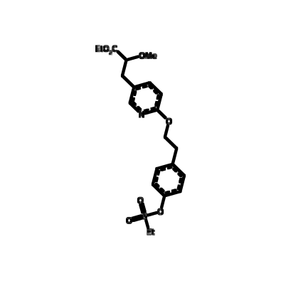 CCOC(=O)C(Cc1ccc(OCCc2ccc(OS(=O)(=O)CC)cc2)nc1)OC